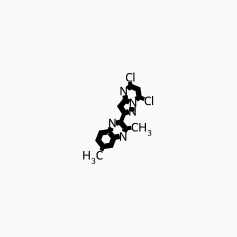 Cc1ccc2nc(-c3cc4nc(Cl)cc(Cl)n4n3)c(C)nc2c1